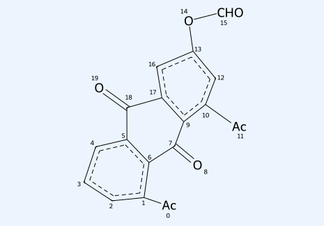 CC(=O)c1cccc2c1C(=O)c1c(C(C)=O)cc(OC=O)cc1C2=O